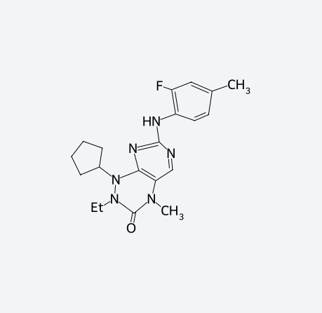 CCN1C(=O)N(C)c2cnc(Nc3ccc(C)cc3F)nc2N1C1CCCC1